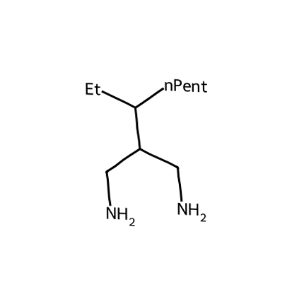 CCCCCC(CC)C(CN)CN